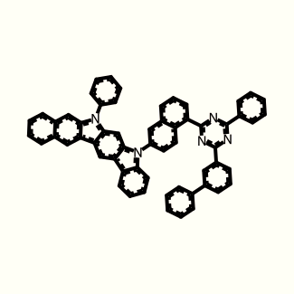 c1ccc(-c2cccc(-c3nc(-c4ccccc4)nc(-c4cccc5cc(-n6c7ccccc7c7cc8c9cc%10ccccc%10cc9n(-c9ccccc9)c8cc76)ccc45)n3)c2)cc1